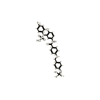 O=C(Nc1ccc(O)c(N(c2ccc(F)cc2)S(=O)(=O)O)c1)c1ccc(SCc2ccc(OC(F)(F)F)cc2)cc1